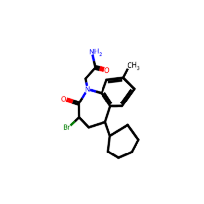 Cc1ccc2c(c1)N(CC(N)=O)C(=O)C(Br)CC2C1CCCCC1